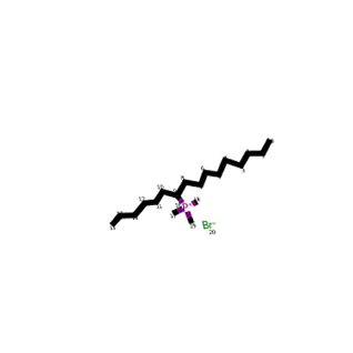 CCCCCCCCCC(CCCCCC)[P+](C)(C)C.[Br-]